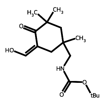 CC1(CNC(=O)OC(C)(C)C)CC(=CO)C(=O)C(C)(C)C1